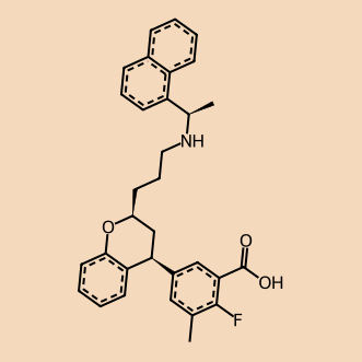 Cc1cc([C@@H]2C[C@H](CCCN[C@H](C)c3cccc4ccccc34)Oc3ccccc32)cc(C(=O)O)c1F